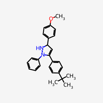 COc1ccc(C2C=C(c3ccc(C(C)(C)C)cc3)N(c3ccccc3)N2)cc1